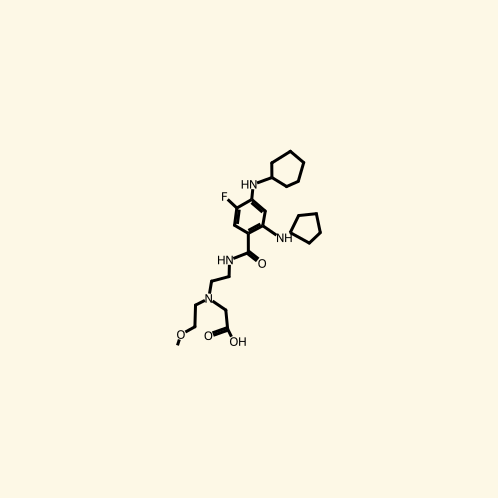 COCCN(CCNC(=O)c1cc(F)c(NC2CCCCC2)cc1NC1CCCC1)CC(=O)O